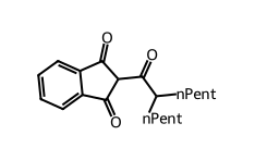 CCCCCC(CCCCC)C(=O)C1C(=O)c2ccccc2C1=O